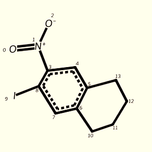 O=[N+]([O-])c1cc2c(cc1I)CCCC2